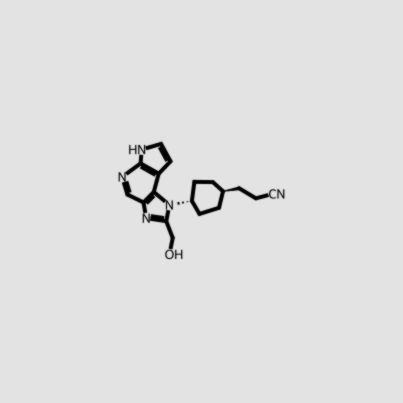 N#CCC[C@H]1CC[C@H](n2c(CO)nc3cnc4[nH]ccc4c32)CC1